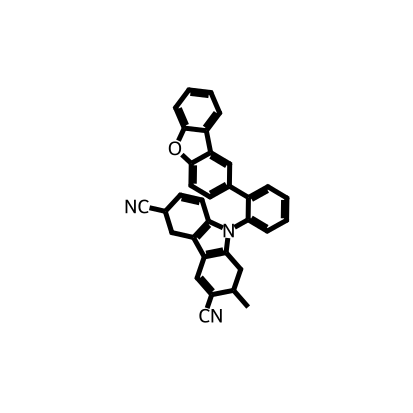 CC1Cc2c(c3c(n2-c2ccccc2-c2ccc4oc5ccccc5c4c2)C=CC(C#N)C3)C=C1C#N